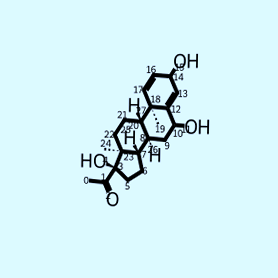 CC(=O)[C@@]1(O)CC[C@H]2[C@@H]3CC(O)C4=CC(O)C=C[C@]4(C)[C@H]3CC[C@@]21C